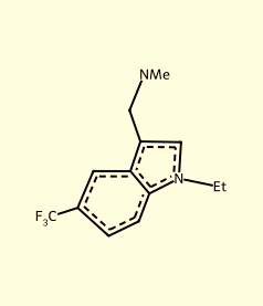 CCn1cc(CNC)c2cc(C(F)(F)F)ccc21